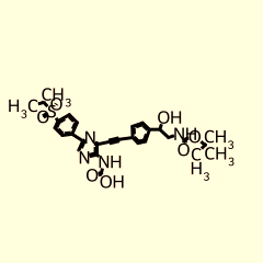 CC(C)S(=O)(=O)c1ccc(-c2cnc(NC(=O)O)c(C#Cc3ccc(C(O)CNC(=O)OC(C)(C)C)cc3)n2)cc1